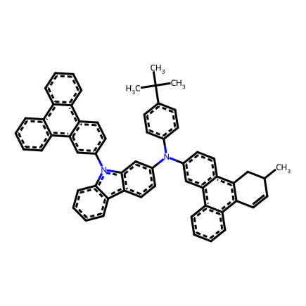 CC1C=Cc2c(c3ccc(N(c4ccc(C(C)(C)C)cc4)c4ccc5c6ccccc6n(-c6ccc7c8ccccc8c8ccccc8c7c6)c5c4)cc3c3ccccc23)C1